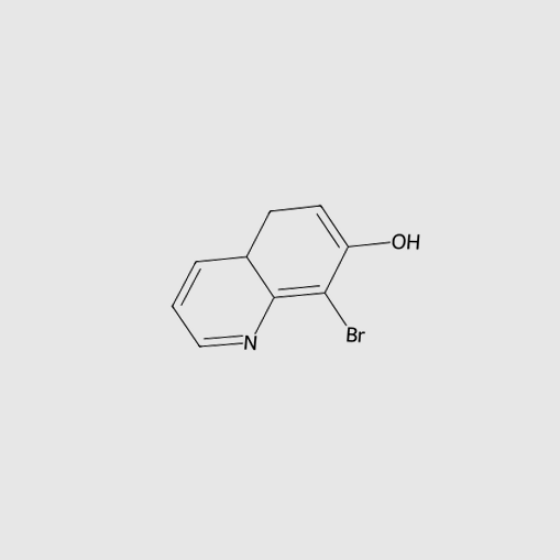 OC1=CCC2C=CC=NC2=C1Br